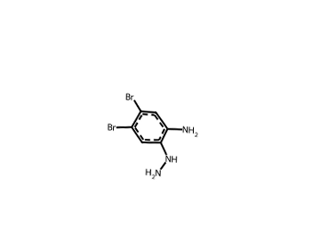 NNc1cc(Br)c(Br)cc1N